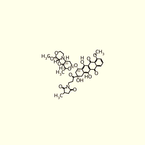 COc1cccc2c1C(=O)c1c(O)c3c(c(O)c1C2=O)C[C@@](O)(C(=O)CCN1C(=O)CC(C)C1=O)C[C@@H]3O[C@H]1C[C@H]2[C@H](O[C@@H]3[C@@H](OC)OCCN32)[C@H](C)O1